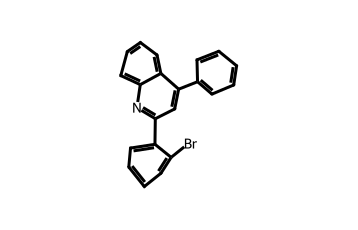 Brc1ccccc1-c1cc(-c2ccccc2)c2ccccc2n1